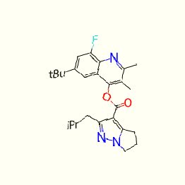 Cc1nc2c(F)cc(C(C)(C)C)cc2c(OC(=O)c2c(CC(C)C)nn3c2CCC3)c1C